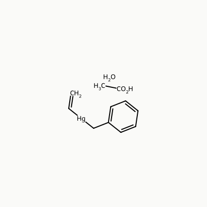 C=[CH][Hg][CH2]c1ccccc1.CC(=O)O.O